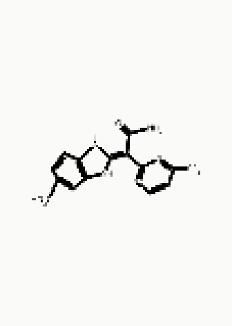 NC(=O)/C(=C1\Nc2ccc(C(=O)O)cc2N1)c1nccc(C(F)(F)F)n1